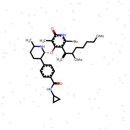 C=C(c1c(CCCC)[nH]c(=O)c(C)c1O[C@H]1NC(C)CCC1c1ccc(C(=O)NC2CC2)cc1)C(CCCCOC)OC